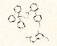 CCc1cc(OCc2ccc(-c3ccccc3-c3nnn(C(c4ccccc4)(c4ccccc4)c4ccccc4)n3)cc2)c2nc(C)ccc2n1